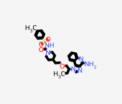 CCC(COCCC1CCN(C(=O)NS(=O)(=O)c2ccc(C)cc2)CC1)n1cnc2c(N)nc3ccccc3c21